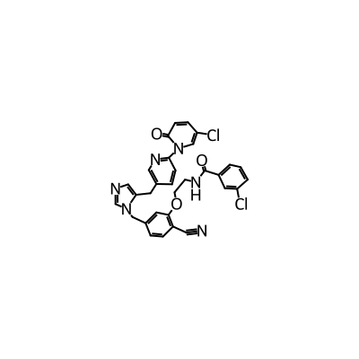 N#Cc1ccc(Cn2cncc2Cc2ccc(-n3cc(Cl)ccc3=O)nc2)cc1OCCNC(=O)c1cccc(Cl)c1